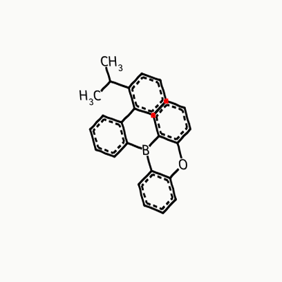 CC(C)c1ccccc1-c1ccccc1B1c2ccccc2Oc2ccccc21